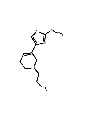 CCCN1CCC=C(c2csc(NC)n2)C1